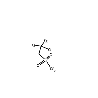 CCC(Cl)(Cl)CS(=O)(=O)C(F)(F)F